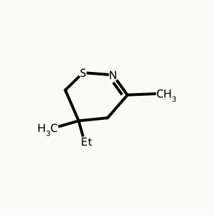 CCC1(C)CSN=C(C)C1